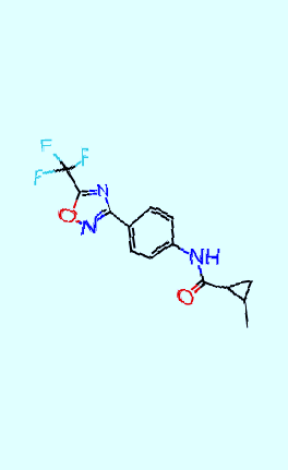 CC1CC1C(=O)Nc1ccc(-c2noc(C(F)(F)F)n2)cc1